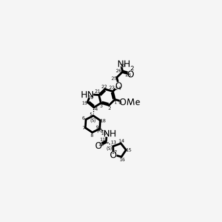 COc1cc2c([C@H]3CCC[C@@H](NC(=O)[C@@H]4CCCO4)C3)c[nH]c2cc1OCC(N)=O